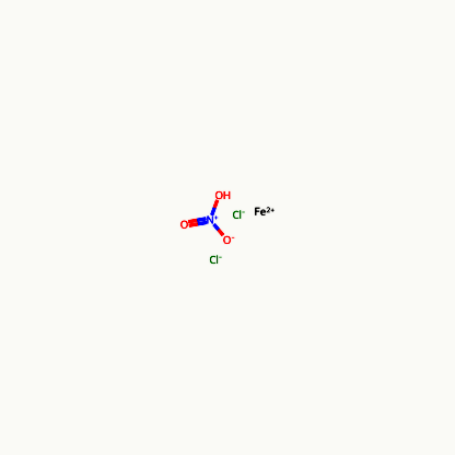 O=[N+]([O-])O.[Cl-].[Cl-].[Fe+2]